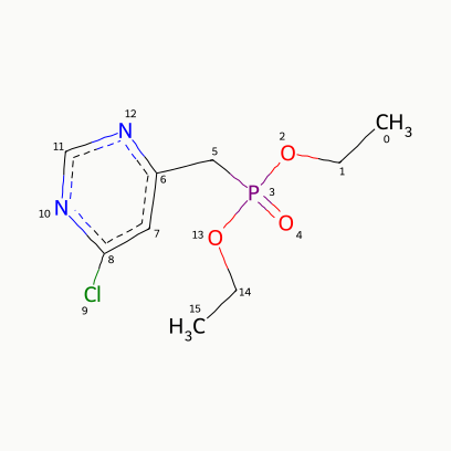 CCOP(=O)(Cc1cc(Cl)ncn1)OCC